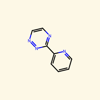 c1ccc(-c2nccnn2)nc1